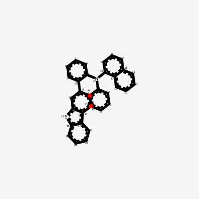 c1ccc(N(c2ccccc2-c2ccc3c(c2)sc2ccccc23)c2cccc3ccccc23)cc1